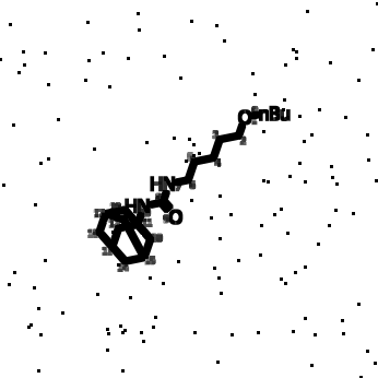 CCCCOCCCCCNC(=O)NC12CC3CC(CC(C3)C1)C2